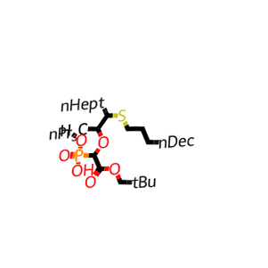 CCCCCCCCCCCCCSC(CCCCCCC)C(C)OC(C(=O)OCC(C)(C)C)P(=O)(O)OCCC